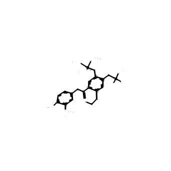 COc1ccc(CC2=NCCc3cc(CC(C)(OC)C(=O)O)c(CC(C)(OC)C(=O)O)cc32)cc1OC.I